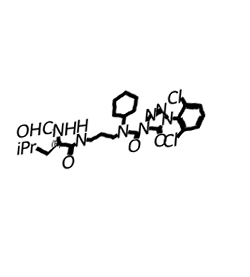 CC(C)C[C@@H](NC=O)C(=O)NCCCN(C(=O)n1nnn(-c2c(Cl)cccc2Cl)c1=O)C1CCCCC1